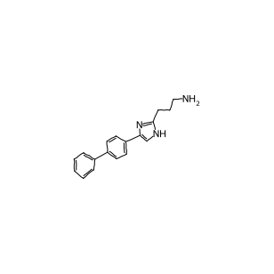 NCCCc1nc(-c2ccc(-c3ccccc3)cc2)c[nH]1